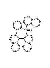 O=P1(c2cccc3ccccc23)c2ccccc2-c2ccc3ccccc3c2-c2c1ccc1ccccc21